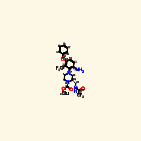 CC(C)(C)OC(=O)N1CCN(c2c(N)ccc(Oc3ccccc3)c2C(F)(F)F)C[C@@H]1CNC(=O)C(F)(F)F